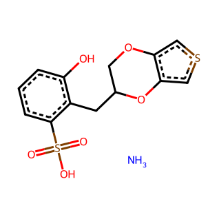 N.O=S(=O)(O)c1cccc(O)c1CC1COc2cscc2O1